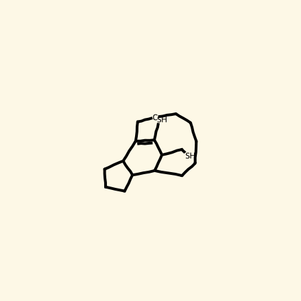 SCC1C(S)=C2CCCCCCCC1C1CCCC21